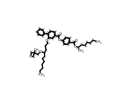 CCCCCCCC(CCCOc1cc(C(=O)Oc2ccc(C(=O)O[C@H](C)CCCCCC)cc2)ccc1-c1ccccc1)OCC1(C)COC1